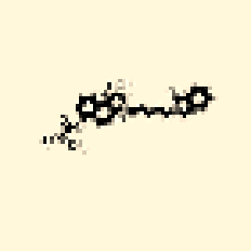 CN(C)C(=O)Oc1cccc2c1CC[C@@H]1[C@H]2CCN1CCCCCN1Cc2ccccc2C1=O.Cl